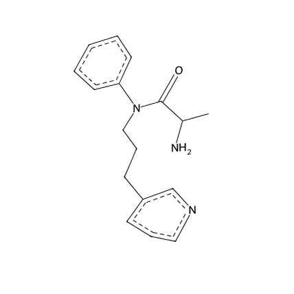 CC(N)C(=O)N(CCCc1cccnc1)c1ccccc1